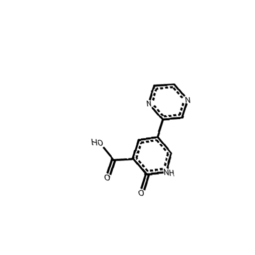 O=C(O)c1cc(-c2cnccn2)c[nH]c1=O